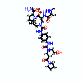 CN[C@@H](C)C(=O)N[C@H]1CN(C(=O)Nc2ccc(NC(=O)N(CCO)CCC(=O)N3CCCC3)cc2)CC[C@H]2CC[C@@H](C(N)=O)N2C1=O